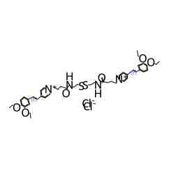 CCOc1ccc(/C=C/c2cc[n+](CCCC(=O)NCCSSCCNC(=O)CCC[n+]3ccc(/C=C/c4ccc(OCC)c(OCC)c4)cc3)cc2)cc1OCC.[Cl-].[Cl-]